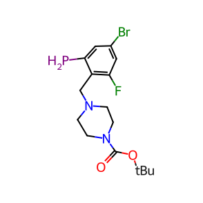 CC(C)(C)OC(=O)N1CCN(Cc2c(F)cc(Br)cc2P)CC1